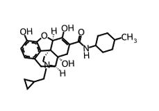 CC1CCC(NC(=O)C2=C(O)[C@@H]3Oc4c(O)ccc5c4[C@@]34CCN(CC3CC3)[C@H](C5)[C@]4(O)C2)CC1